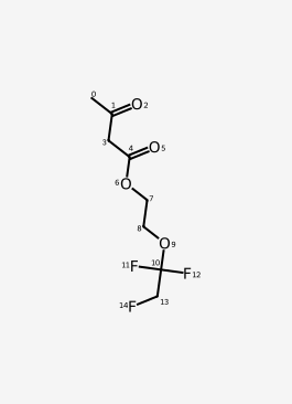 CC(=O)CC(=O)OCCOC(F)(F)CF